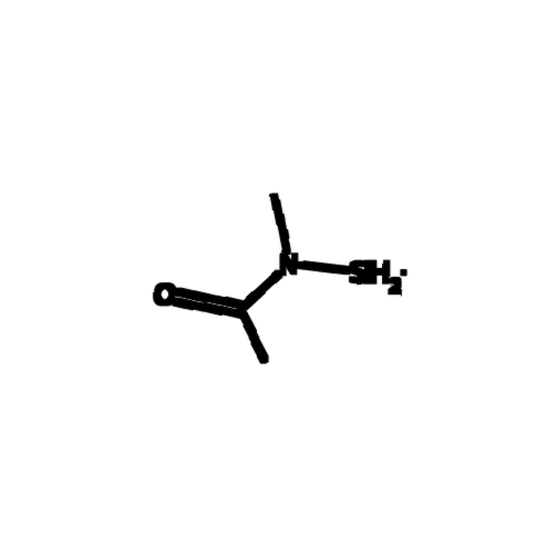 CC(=O)N(C)[SiH2]